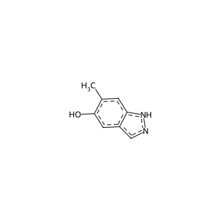 Cc1cc2[nH]ncc2cc1O